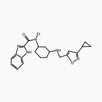 CCN(C(=O)c1nc2ccccc2[nH]1)C1CCCC(NCc2cc(C3CC3)no2)C1